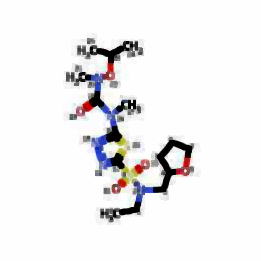 CCN(CC1CCCO1)S(=O)(=O)c1nnc(N(C)C(=O)N(C)OC(C)C)s1